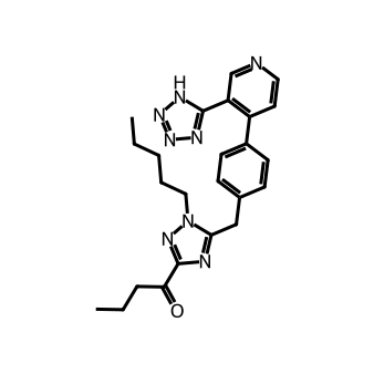 CCCCCn1nc(C(=O)CCC)nc1Cc1ccc(-c2ccncc2-c2nnn[nH]2)cc1